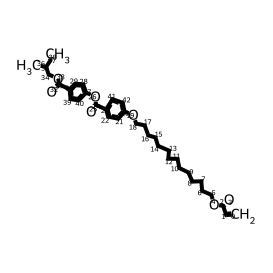 C=CC(=O)OCCCCCCCCCCCCCCOc1ccc(C(=O)Oc2ccc(C(=O)OCC(C)CC)cc2)cc1